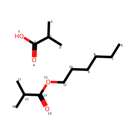 CC(C)C(=O)O.CCCCCCOC(=O)C(C)C